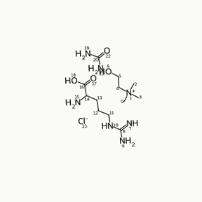 C[N+](C)(C)CCO.N=C(N)NCCCC(N)C(=O)O.NC(N)=O.[Cl-]